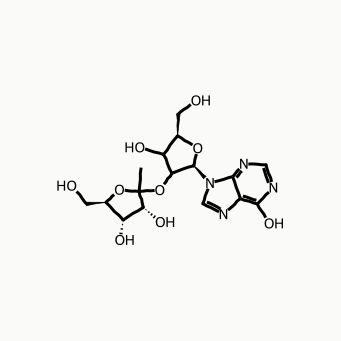 CC1(OC2C(O)[C@@H](CO)O[C@H]2n2cnc3c(O)ncnc32)O[C@H](CO)[C@@H](O)[C@H]1O